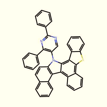 c1ccc(-c2ncc(-n3c4ccc5ccccc5c4c4c5ccccc5c5sc6ccccc6c5c43)c(-c3ccccc3)n2)cc1